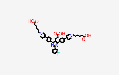 O=C(O)CCCCC[n+]1ccc(-c2ccc(-c3nc(-c4cccc(F)c4)nc(-c4ccc(-c5cc[n+](CCCCCC(=O)O)cc5)cc4)c3CCC(=O)O)cc2)cc1